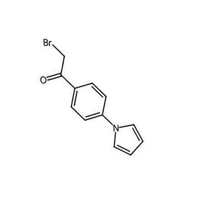 O=C(CBr)c1ccc(-n2cccc2)cc1